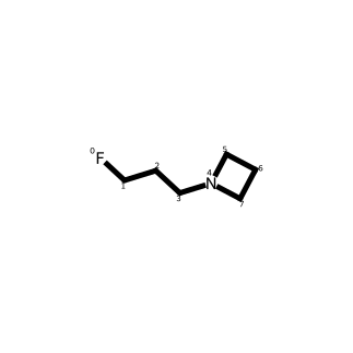 FCCCN1C[CH]C1